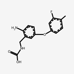 Cc1ccc(Oc2ccc(N)c(CNC(=O)O)c2)cc1F